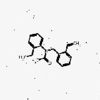 C=Cc1ccccc1CN(C(C)=O)c1ccccc1CC